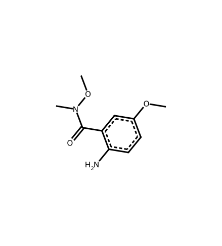 COc1ccc(N)c(C(=O)N(C)OC)c1